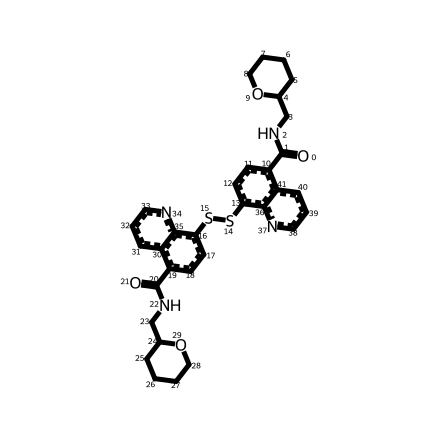 O=C(NCC1CCCCO1)c1ccc(SSc2ccc(C(=O)NCC3CCCCO3)c3cccnc23)c2ncccc12